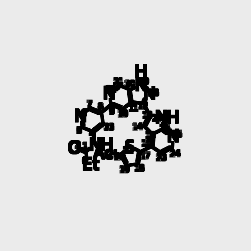 CCC(=O)Nc1cncc(-c2cc3c(-c4cc5c(-c6ccc(C(C)=O)s6)ccnc5[nH]4)n[nH]c3cn2)c1